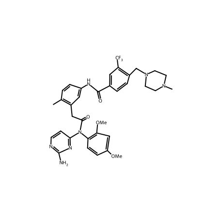 COc1ccc(N(C(=O)Cc2cc(NC(=O)c3ccc(CN4CCN(C)CC4)c(C(F)(F)F)c3)ccc2C)c2ccnc(N)n2)c(OC)c1